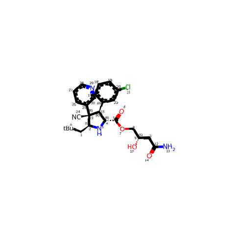 CC(C)(C)C[C@@H]1N[C@@H](C(=O)OC[C@@H](O)CC(N)=O)[C@H](c2cccc(Cl)c2)[C@@]1(C#N)c1cccnc1